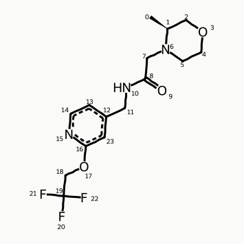 C[C@H]1COCCN1CC(=O)NCc1ccnc(OCC(F)(F)F)c1